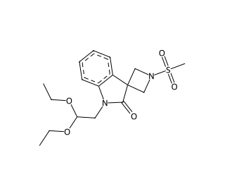 CCOC(CN1C(=O)C2(CN(S(C)(=O)=O)C2)c2ccccc21)OCC